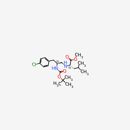 COC(=O)[C@H](CC(C)C)NC[C@H](Cc1ccc(Cl)cc1)NC(=O)OC(C)(C)C